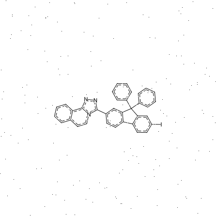 Ic1ccc2c(c1)C(c1ccccc1)(c1ccccc1)c1cc(-c3nnc4c5ccccc5ccn34)ccc1-2